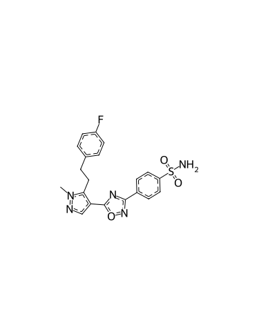 Cn1ncc(-c2nc(-c3ccc(S(N)(=O)=O)cc3)no2)c1CCc1ccc(F)cc1